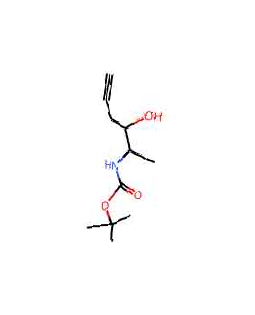 C#CCC(O)C(C)NC(=O)OC(C)(C)C